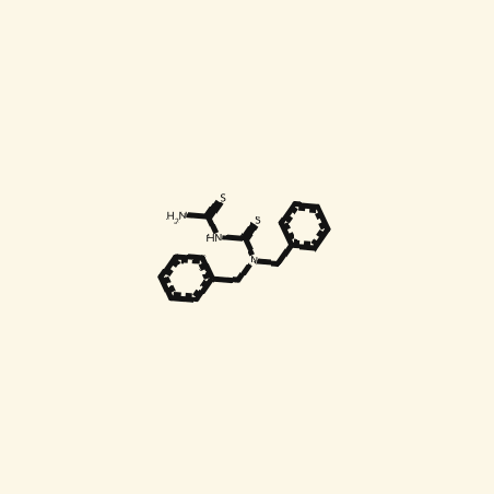 NC(=S)NC(=S)N(Cc1ccccc1)Cc1ccccc1